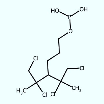 CC(Cl)(CCl)C(CCCOP(O)O)C(C)(Cl)CCl